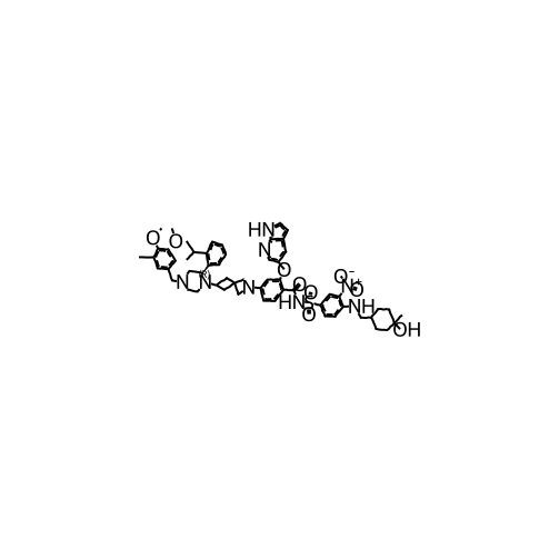 COc1cc(CN2CCN(C3CC4(C3)CN(c3ccc(C(=O)NS(=O)(=O)c5ccc(NCC6CCC(C)(O)CC6)c([N+](=O)[O-])c5)c(Oc5cnc6[nH]ccc6c5)c3)C4)[C@H](c3ccccc3C(C)C)C2)cc(C)c1OC